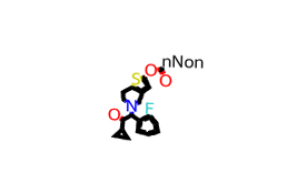 CCCCCCCCCC(=O)Oc1cc2c(s1)CCN(C(C(=O)C1CC1)c1ccccc1F)C2